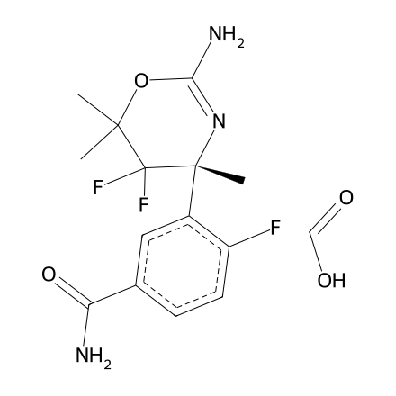 CC1(C)OC(N)=N[C@](C)(c2cc(C(N)=O)ccc2F)C1(F)F.O=CO